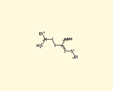 CCS/C=C(/CCN(C)CC)NC